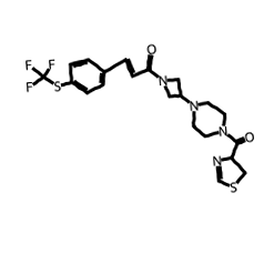 O=C(/C=C/c1ccc(SC(F)(F)F)cc1)N1CC(N2CCN(C(=O)C3CSC=N3)CC2)C1